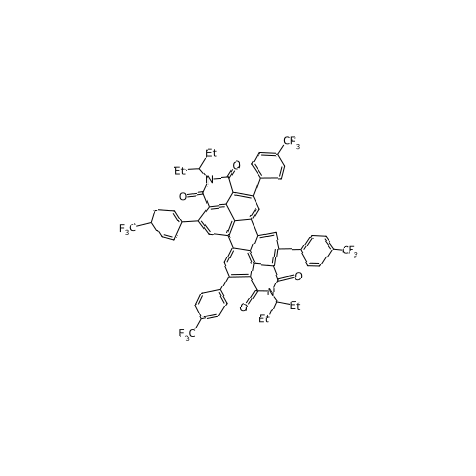 CCC(CC)N1C(=O)c2c(C3=CCC(C(F)(F)F)C=C3)cc3c4cc(-c5ccc(C(F)(F)F)cc5)c5c6c(c(-c7ccc(C(F)(F)F)cc7)cc(c7cc(-c8ccc(C(F)(F)F)cc8)c(c2c37)C1=O)c64)C(=O)N(C(CC)CC)C5=O